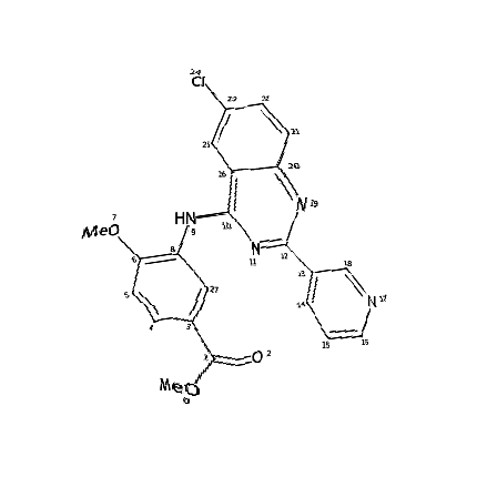 COC(=O)c1ccc(OC)c(Nc2nc(-c3cccnc3)nc3ccc(Cl)cc23)c1